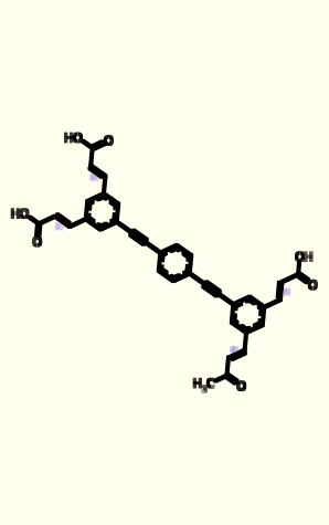 CC(=O)/C=C/c1cc(C#Cc2ccc(C#Cc3cc(/C=C/C(=O)O)cc(/C=C/C(=O)O)c3)cc2)cc(/C=C/C(=O)O)c1